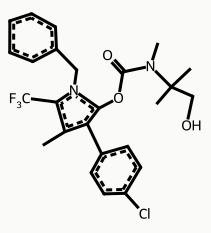 Cc1c(-c2ccc(Cl)cc2)c(OC(=O)N(C)C(C)(C)CO)n(Cc2ccccc2)c1C(F)(F)F